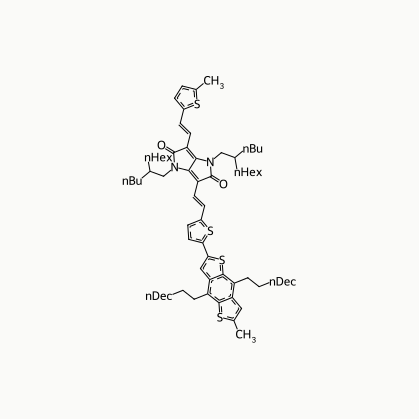 CCCCCCCCCCCCc1c2cc(-c3ccc(/C=C/C4=C5C(=C(/C=C/c6ccc(C)s6)C(=O)N5CC(CCCC)CCCCCC)N(CC(CCCC)CCCCCC)C4=O)s3)sc2c(CCCCCCCCCCCC)c2cc(C)sc12